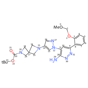 COCOc1ccccc1-c1cc(-n2cc(N3CC4(CN(C(=O)OC(C)(C)C)C4)C3)cn2)c(N)nn1